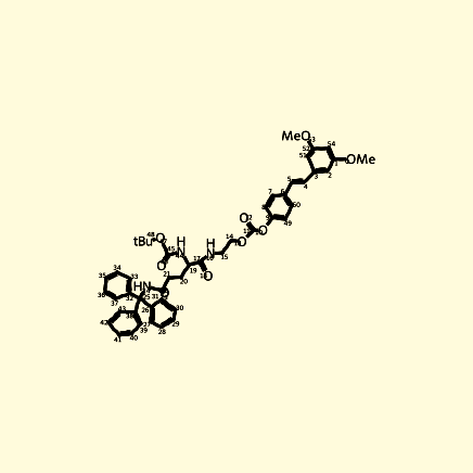 COc1cc(/C=C/c2ccc(OC(=O)OCCNC(=O)C(CCC(=O)NC(c3ccccc3)(c3ccccc3)c3ccccc3)NC(=O)OC(C)(C)C)cc2)cc(OC)c1